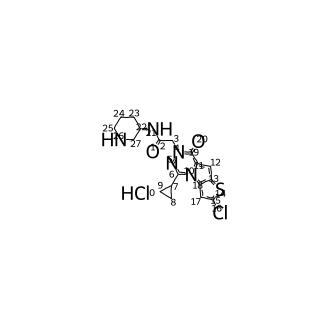 Cl.O=C(Cn1nc(C2CC2)n2c(cc3sc(Cl)cc32)c1=O)N[C@@H]1CCCNC1